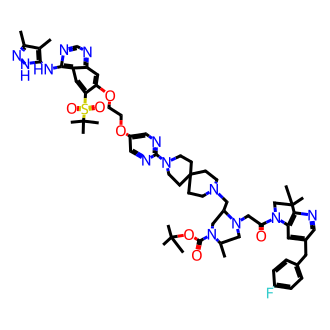 Cc1n[nH]c(Nc2ncnc3cc(OCCOc4cnc(N5CCC6(CCN(CC7CN(C(=O)OC(C)(C)C)C(C)CN7CC(=O)N7CC(C)(C)c8ncc(Cc9ccc(F)cc9)cc87)CC6)CC5)nc4)c(S(=O)(=O)C(C)(C)C)cc23)c1C